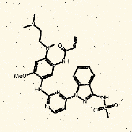 C=CC(=O)Nc1cc(Nc2nccc(-n3nc(NS(C)(=O)=O)c4ccccc43)n2)c(OC)cc1N(C)CCN(C)C